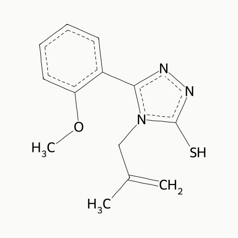 C=C(C)Cn1c(S)nnc1-c1ccccc1OC